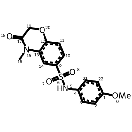 COc1ccc(NS(=O)(=O)c2ccc3c(c2)N(C)C(=O)CO3)cc1